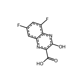 O=C(O)c1nc2cc(F)cc(F)c2nc1O